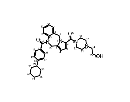 O=C(c1ccc2n1Cc1ccccc1N(C(=O)c1ccc(C3CCCCC3)cc1)C2)N1CCN(CCO)CC1